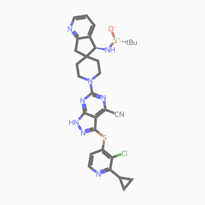 CC(C)(C)[S@@+]([O-])N[C@@H]1c2cccnc2CC12CCN(c1nc(C#N)c3c(Sc4ccnc(C5CC5)c4Cl)n[nH]c3n1)CC2